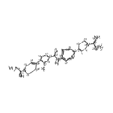 N=C(N)N1CC=C(c2ccc(NC(=O)c3ccc(C4=CCN(C(=N)N)CC4)c(F)c3)cn2)CC1